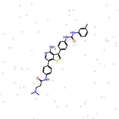 Cc1cccc(NC(=O)Nc2ccc(-c3csc4c(-c5ccc(NC(=O)CCN(C)C)cc5)cnc(N)c34)cc2)c1